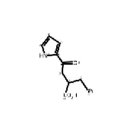 CC(C)CC(CC(=O)c1ccc[nH]1)C(=O)O